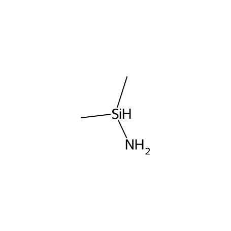 C[SiH](C)N